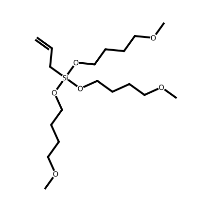 C=CC[Si](OCCCCOC)(OCCCCOC)OCCCCOC